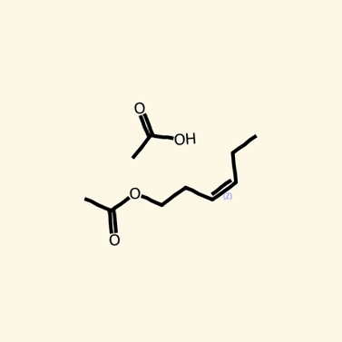 CC(=O)O.CC/C=C\CCOC(C)=O